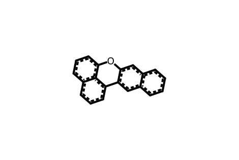 c1ccc2cc3c(cc2c1)Oc1cccc2cccc-3c12